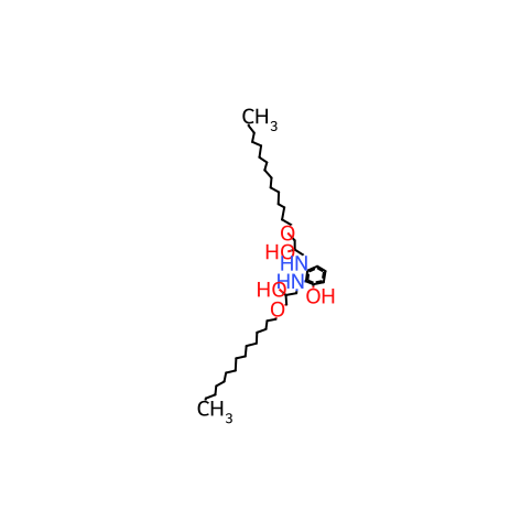 CCCCCCCCCCCCCCCOCC(O)CNc1cccc(O)c1NCC(O)COCCCCCCCCCCCCCCC